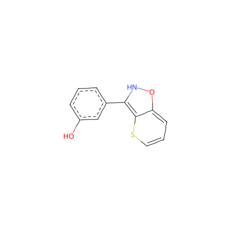 Oc1cccc(C2=C3SC=CC=C3ON2)c1